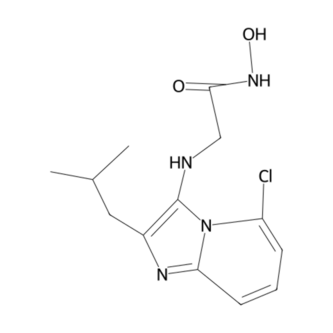 CC(C)Cc1nc2cccc(Cl)n2c1NCC(=O)NO